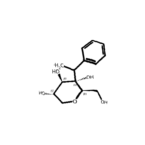 [CH2]C(c1ccccc1)[C@]1(O)[C@H](O)[C@@H](O)CO[C@@H]1CO